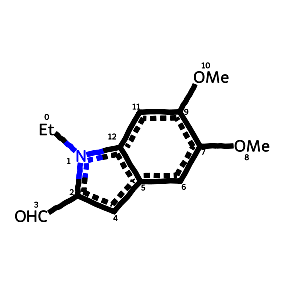 CCn1c(C=O)cc2cc(OC)c(OC)cc21